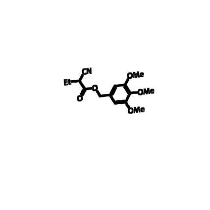 CCC(C#N)C(=O)OCc1cc(OC)c(OC)c(OC)c1